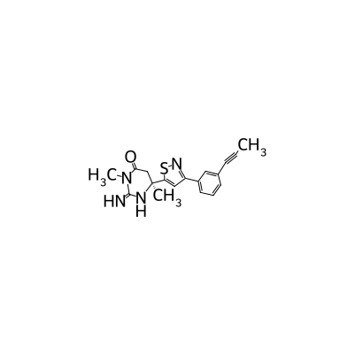 CC#Cc1cccc(-c2cc([C@]3(C)CC(=O)N(C)C(=N)N3)sn2)c1